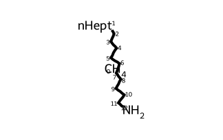 C.CCCCCCCCCCCCCCCCCN